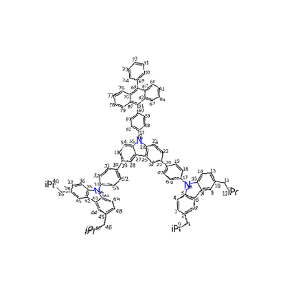 CC(C)Cc1ccc2c(c1)c1cc(CC(C)C)ccc1n2-c1ccc(-c2ccc3c(c2)c2cc(-c4ccc(-n5c6ccc(CC(C)C)cc6c6cc(CC(C)C)ccc65)cc4)ccc2n3-c2ccc(-c3c4ccccc4c(-c4ccccc4)c4ccccc34)cc2)cc1